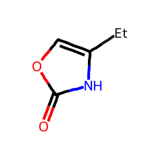 CCc1coc(=O)[nH]1